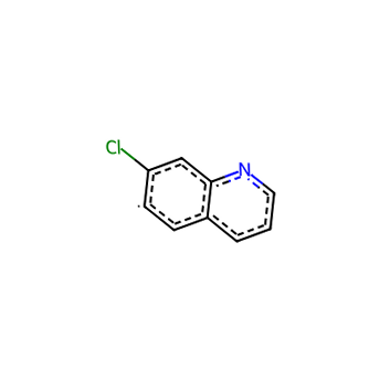 Clc1[c]cc2cccnc2c1